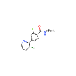 CCCCCNC(=O)c1ccc(-c2ncccc2Cl)cc1F